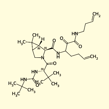 C=CCCNC(=O)C(=O)C(CCC=C)NC(=O)[C@@H]1[C@@H]2C(CN1C(=O)[C@@H](NC(=O)NC(C)(C)C)C(C)(C)C)C2(C)C